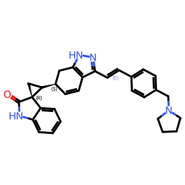 O=C1Nc2ccccc2[C@]12CC2[C@@H]1C=Cc2c(/C=C/c3ccc(CN4CCCC4)cc3)n[nH]c2C1